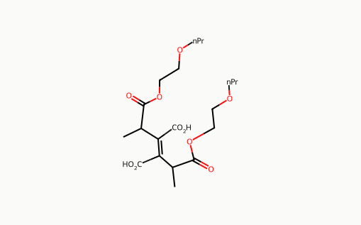 CCCOCCOC(=O)C(C)C(C(=O)O)=C(C(=O)O)C(C)C(=O)OCCOCCC